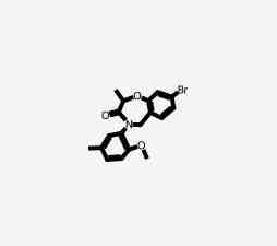 COc1ccc(C)cc1N1Cc2ccc(Br)cc2OC(C)C1=O